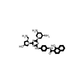 NC[C@@H]1C[C@H](O)CN1c1nc(Nc2ccc(NC(=O)c3ccc4ccccc4c3O)cc2)nc(N2C[C@H](N)C[C@H](N)C2)n1